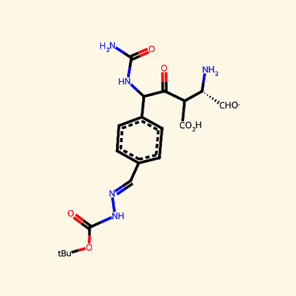 CC(C)(C)OC(=O)NN=Cc1ccc(C(NC(N)=O)C(=O)C(C(=O)O)[C@H](N)[C]=O)cc1